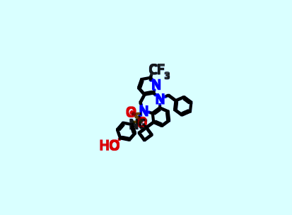 N#CC1(c2cccc3c2N(S(=O)(=O)c2ccc(O)cc2)Cc2ccc(C(F)(F)F)nc2N3Cc2ccccc2)CCC1